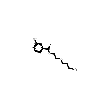 CCCCOCCOC(=O)c1cccc(Cl)c1